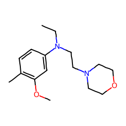 CCN(CCN1CCOCC1)c1ccc(C)c(OC)c1